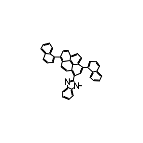 Cn1c(-c2cc(-c3cccc4ccccc34)c3ccc4ccc(-c5cccc6ccccc56)c5ccc2c3c45)nc2ccccc21